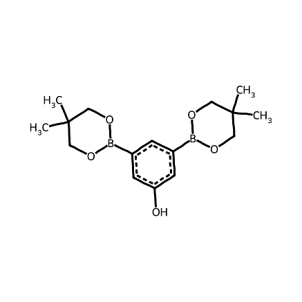 CC1(C)COB(c2cc(O)cc(B3OCC(C)(C)CO3)c2)OC1